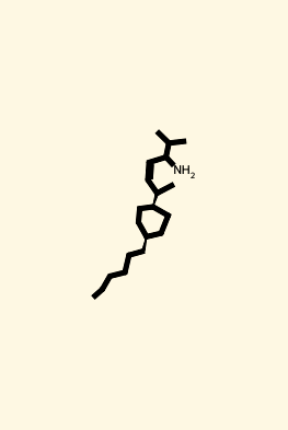 CCCCCC[C@H]1CC[C@@H](C(C)/C=C\C(N)C(C)C)CC1